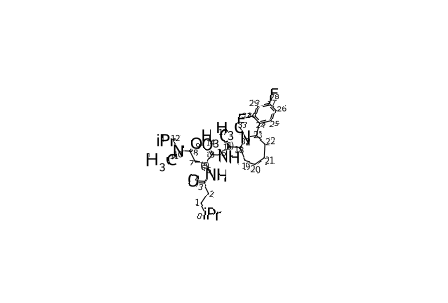 CC(C)CCC(=O)N[C@@H](CC(=O)N(C)C(C)C)C(=O)N[C@@H](C)C1CCCCC(c2ccc(F)cc2F)N1C